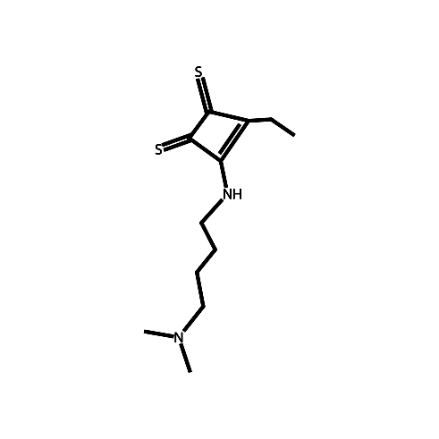 CCc1c(NCCCCN(C)C)c(=S)c1=S